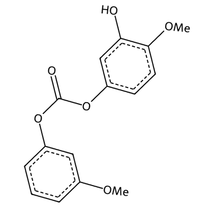 COc1cccc(OC(=O)Oc2ccc(OC)c(O)c2)c1